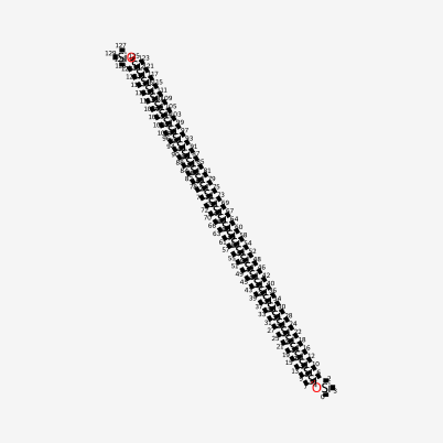 C[Si](C)(C)O[Si](C)(C)[Si](C)(C)[Si](C)(C)[Si](C)(C)[Si](C)(C)[Si](C)(C)[Si](C)(C)[Si](C)(C)[Si](C)(C)[Si](C)(C)[Si](C)(C)[Si](C)(C)[Si](C)(C)[Si](C)(C)[Si](C)(C)[Si](C)(C)[Si](C)(C)[Si](C)(C)[Si](C)(C)[Si](C)(C)[Si](C)(C)[Si](C)(C)[Si](C)(C)[Si](C)(C)[Si](C)(C)[Si](C)(C)[Si](C)(C)[Si](C)(C)[Si](C)(C)[Si](C)(C)[Si](C)(C)[Si](C)(C)[Si](C)(C)[Si](C)(C)[Si](C)(C)[Si](C)(C)[Si](C)(C)[Si](C)(C)[Si](C)(C)[Si](C)(C)O[Si](C)(C)C